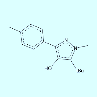 Cc1ccc(-c2nn(C)c(C(C)(C)C)c2O)cc1